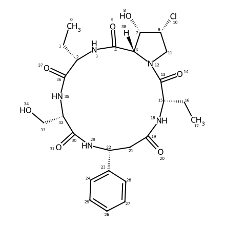 CC[C@@H]1NC(=O)[C@@H]2[C@H](O)[C@H](Cl)CN2C(=O)[C@H](CC)NC(=O)C[C@H](c2ccccc2)NC(=O)[C@H](CO)NC1=O